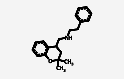 CC1(C)CC(CNCCc2ccccc2)c2ccccc2O1